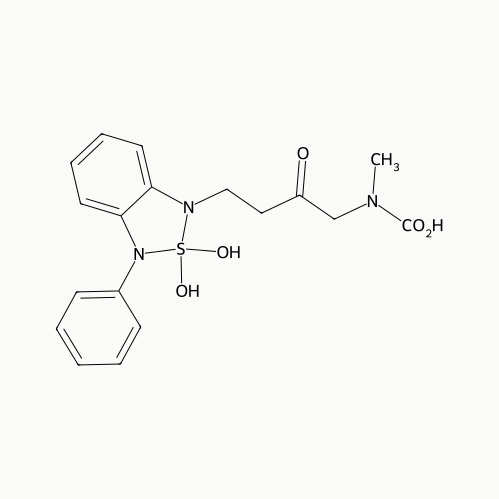 CN(CC(=O)CCN1c2ccccc2N(c2ccccc2)S1(O)O)C(=O)O